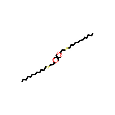 CCCCCCCCCCCCSCCC1OCC2(CO1)COC(CCSCCCCCCCCCCCC)OC2